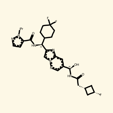 CC(C)n1nccc1C(=O)N[C@H](c1cn2ncc([C@@H](O)NC(=O)C[C@H]3C[C@@H](F)C3)cc2n1)C1CCC(F)(F)CC1